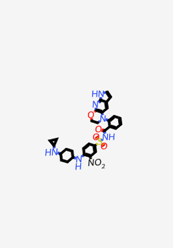 O=C(NS(=O)(=O)c1ccc(NC2CCC(NC3CC3)CC2)c([N+](=O)[O-])c1)c1ccccc1N1CCOc2nc3[nH]ccc3cc21